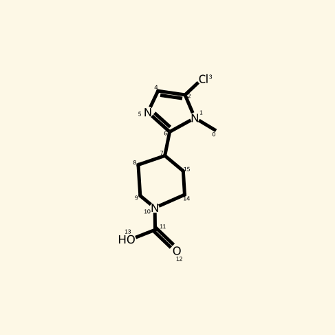 Cn1c(Cl)cnc1C1CCN(C(=O)O)CC1